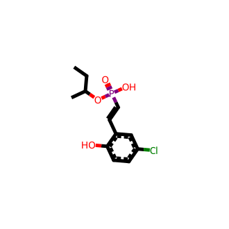 CCC(C)OP(=O)(O)C=Cc1cc(Cl)ccc1O